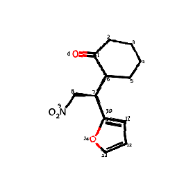 O=C1CCCCC1[C@H](C[N+](=O)[O-])c1ccco1